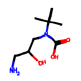 CC(C)(C)N(CC(O)CN)C(=O)O